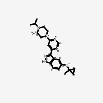 CC(C)N1CCN(c2cc(-c3n[nH]c4ccc(OC5(C)CC5)cc34)ncn2)C[C@@H]1C